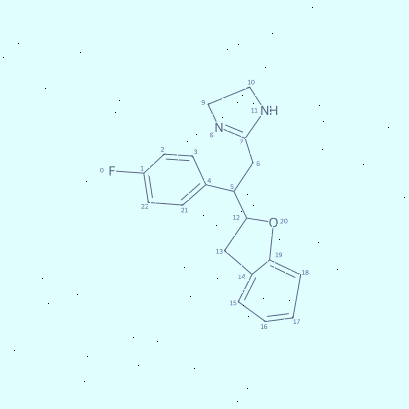 Fc1ccc(C(CC2=NCCN2)C2Cc3ccccc3O2)cc1